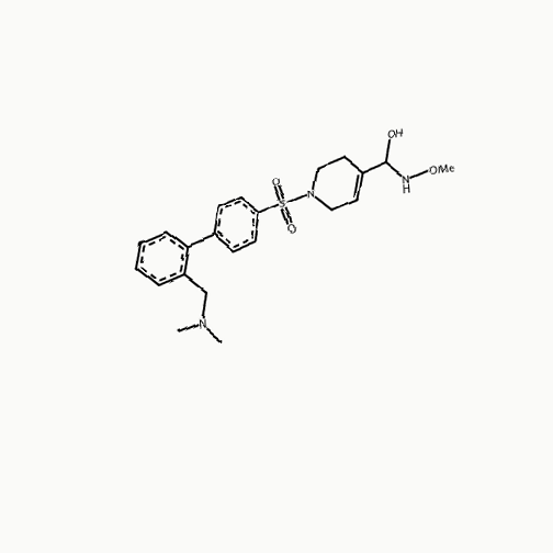 CONC(O)C1=CCN(S(=O)(=O)c2ccc(-c3ccccc3CN(C)C)cc2)CC1